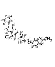 Cc1nc2cc(OC[C@H](O)CN3CCN(N(C=O)c4ccc(-c5ccccc5)cc4)CC3)ccc2s1